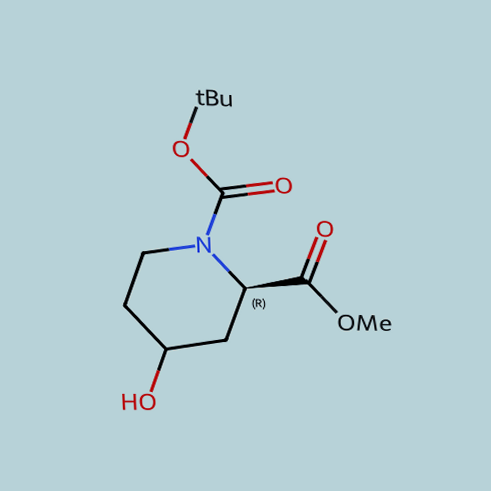 COC(=O)[C@H]1CC(O)CCN1C(=O)OC(C)(C)C